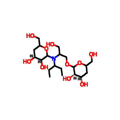 CCC(CC)N(C(CO)COC1OC(CO)C[C@H](O)[C@@H]1O)C1OC(CO)C[C@H](O)[C@@H]1O